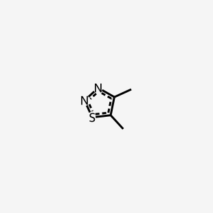 Cc1nnsc1C